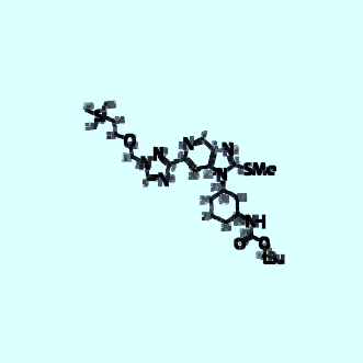 CSc1nc2cnc(-c3ncn(COCC[Si](C)(C)C)n3)cc2n1[C@@H]1CCC[C@H](NC(=O)OC(C)(C)C)C1